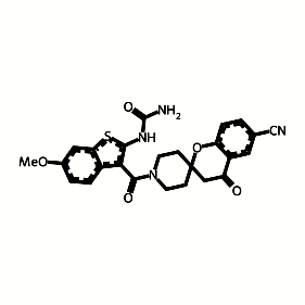 COc1ccc2c(C(=O)N3CCC4(CC3)CC(=O)c3cc(C#N)ccc3O4)c(NC(N)=O)sc2c1